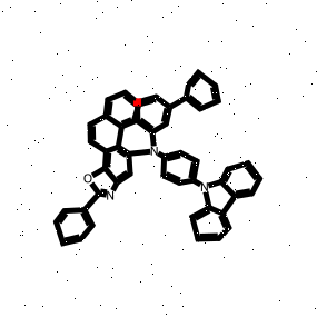 c1ccc(-c2cccc(N(c3ccc(-n4c5ccccc5c5ccccc54)cc3)c3cc4nc(-c5ccccc5)oc4c4ccc5ccccc5c34)c2)cc1